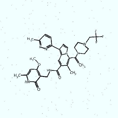 C=C(c1c(C)c(C(=O)NCc2c(OC)cc(C)[nH]c2=O)cc2c(-c3ccc(C)nn3)ccn12)N1CCN(CC(F)(F)F)CC1